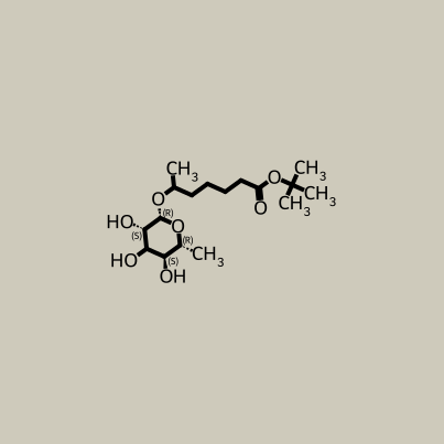 CC(CCCCC(=O)OC(C)(C)C)O[C@@H]1O[C@H](C)[C@@H](O)C(O)[C@@H]1O